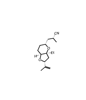 C=C(C)[C@H]1C[C@]2(CC)O[C@@H](C[C@@H](C)C#N)CC[C@@H]2O1